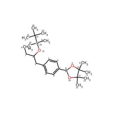 CCC(Cc1ccc(B2OC(C)(C)C(C)(C)O2)cc1)O[Si](C)(C)C(C)(C)C